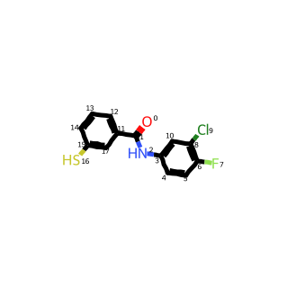 O=C(Nc1ccc(F)c(Cl)c1)c1cccc(S)c1